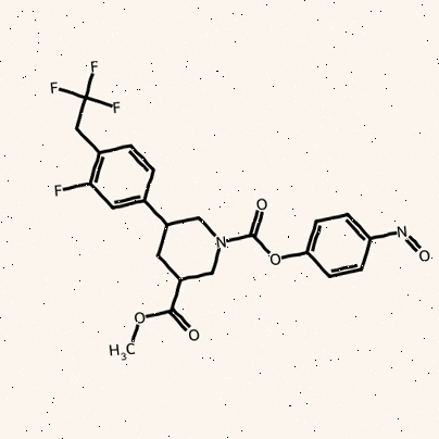 COC(=O)C1CC(c2ccc(CC(F)(F)F)c(F)c2)CN(C(=O)Oc2ccc(N=O)cc2)C1